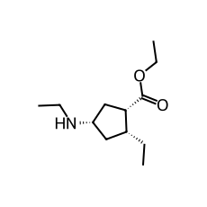 CCN[C@H]1C[C@@H](CC)[C@@H](C(=O)OCC)C1